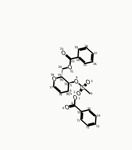 CS(=O)(=O)O[C@H]1[C@H](OC(=O)c2ccccc2)C=CO[C@@H]1COC(=O)c1ccccc1